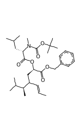 CC=CC(C[C@@H](OC(=O)[C@H](CC(C)C)N(C)C(=O)OC(C)(C)C)C(=O)OCc1ccccc1)[C@@H](C)C(C)C